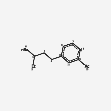 CCCCC(CC)CCc1ccnc(C(C)=O)c1